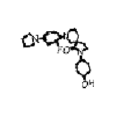 O=C1N(C2CCC(O)CC2)CCC12CCCN(c1ccc(N3CCCC3)cc1F)C2